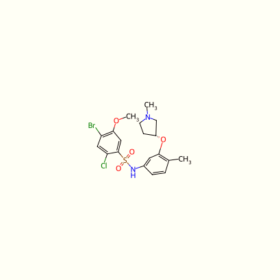 COc1cc(S(=O)(=O)Nc2ccc(C)c(O[C@@H]3CCN(C)C3)c2)c(Cl)cc1Br